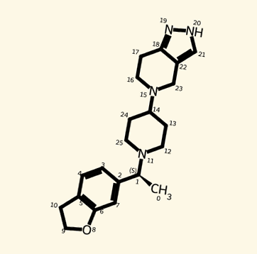 C[C@@H](c1ccc2c(c1)OCC2)N1CCC(N2CCc3n[nH]cc3C2)CC1